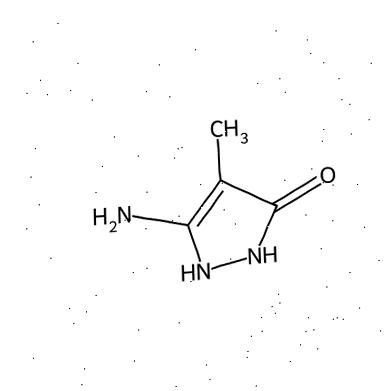 Cc1c(N)[nH][nH]c1=O